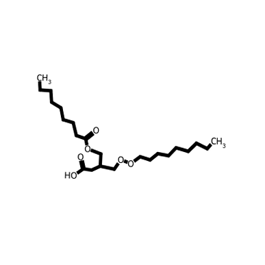 CCCCCCCCCOOCC(COC(=O)CCCCCCCC)CC(=O)O